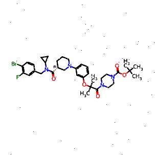 CC(C)(C)OC(=O)N1CCN(C(=O)C(C)(C)Oc2cccc(N3CCC[C@@H](C(=O)N(Cc4ccc(Br)c(F)c4)C4CC4)C3)c2)CC1